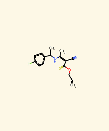 C=CCOC(=S)C(C#N)=C(C)NC(C)c1ccc(F)cc1